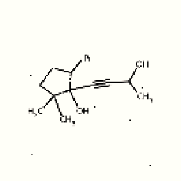 CC(O)C#CC1(O)C(C(C)C)CCC1(C)C